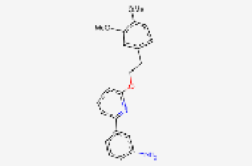 COc1ccc(CCOc2cccc(-c3cccc(N)c3)n2)cc1OC